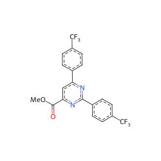 COC(=O)c1cc(-c2ccc(C(F)(F)F)cc2)nc(-c2ccc(C(F)(F)F)cc2)n1